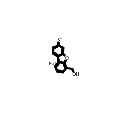 OCc1cccc2c1oc1cc([S-])ccc12.[Na+]